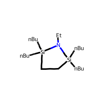 [CH2]CN1[Si](CCCC)(CCCC)CC[Si]1(CCCC)CCCC